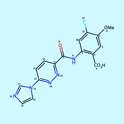 COc1cc(C(=O)O)c(NC(=O)c2ccc(-n3ccnc3)nn2)cc1F